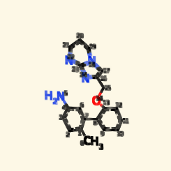 Cc1ccc(N)cc1-c1ccccc1OCc1cn2cccnc2n1